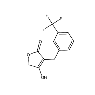 O=C1OCC(O)=C1Cc1cccc(C(F)(F)F)c1